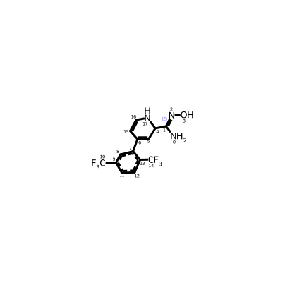 N/C(=N\O)C1C=C(c2cc(C(F)(F)F)ccc2C(F)(F)F)C=CN1